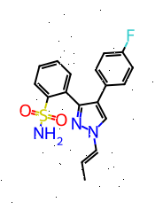 CC=Cn1cc(-c2ccc(F)cc2)c(-c2ccccc2S(N)(=O)=O)n1